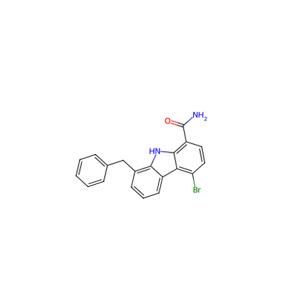 NC(=O)c1ccc(Br)c2c1[nH]c1c(Cc3ccccc3)cccc12